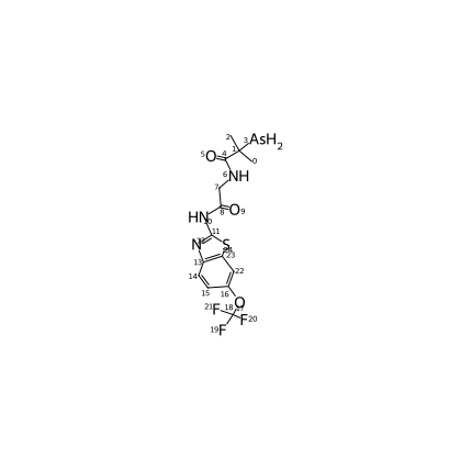 CC(C)([AsH2])C(=O)NCC(=O)Nc1nc2ccc(OC(F)(F)F)cc2s1